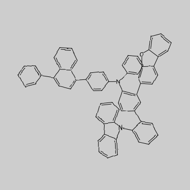 c1ccc(-c2ccc(-c3ccc(N(c4ccccc4)c4ccc(-c5ccccc5-n5c6ccccc6c6ccccc65)cc4-c4ccc5c(c4)oc4ccccc45)cc3)c3ccccc23)cc1